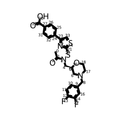 CC(=O)N(C[C@@H]1CN(Cc2ccc(F)c(F)c2)CCO1)Sc1nc(-c2ccc(C(=O)O)cc2)cs1